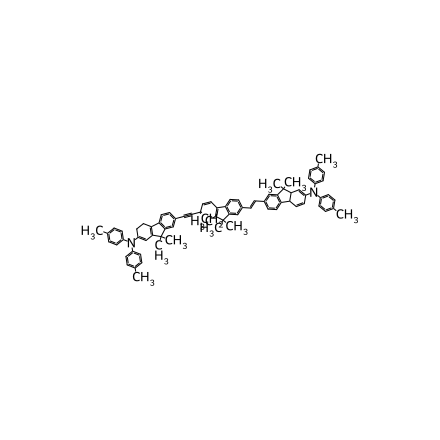 C=C(C#Cc1ccc2c(c1)C(C)(C)C1=C2CCC(N(c2ccc(C)cc2)c2ccc(C)cc2)=C1)/C=C\C1=C(C)C(C)(C)c2cc(/C=C/c3ccc4c(c3)C(C)(C)C3C=C(N(c5ccc(C)cc5)c5ccc(C)cc5)C=CC43)ccc21